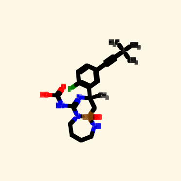 C[C@@]1(c2cc(C#C[Si](C)(C)C)ccc2F)C[SH]2(=O)NCCCCN2C(NC(=O)O)=N1